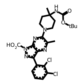 Cc1nc2c(-c3cccc(Cl)c3Cl)nn(C(=O)O)c2nc1N1CCC(C)(NC(=O)OC(C)(C)C)CC1